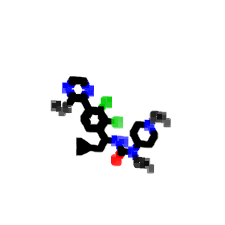 Cc1nccnc1-c1ccc(C(CC2CC2)NC(=O)N(C)C2CCN(C)CC2)c(Cl)c1Cl